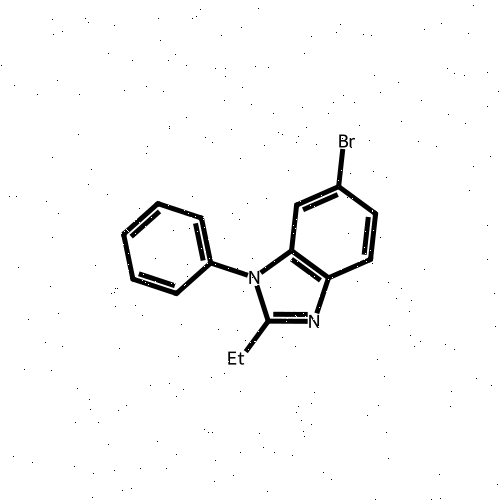 CCc1nc2ccc(Br)cc2n1-c1ccccc1